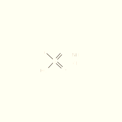 Cl.N.O=[S](=O)(O)[Ir]